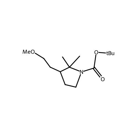 COCCC1CCN(C(=O)OC(C)(C)C)C1(C)C